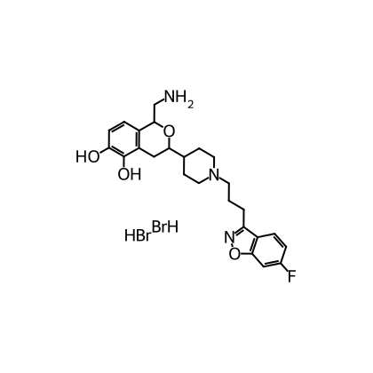 Br.Br.NCC1OC(C2CCN(CCCc3noc4cc(F)ccc34)CC2)Cc2c1ccc(O)c2O